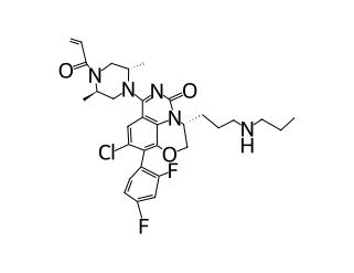 C=CC(=O)N1C[C@H](C)N(c2nc(=O)n3c4c(c(-c5ccc(F)cc5F)c(Cl)cc24)OC[C@H]3CCCNCCC)C[C@H]1C